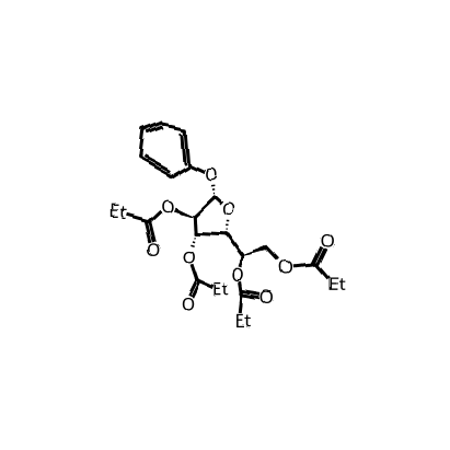 CCC(=O)OC[C@@H](OC(=O)CC)[C@H]1O[C@@H](Oc2ccccc2)[C@H](OC(=O)CC)[C@H]1OC(=O)CC